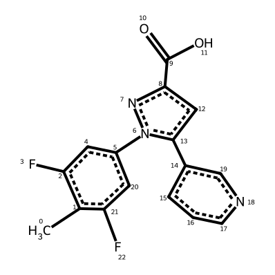 Cc1c(F)cc(-n2nc(C(=O)O)cc2-c2cccnc2)cc1F